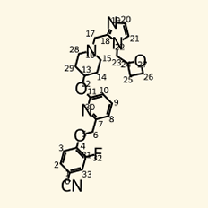 N#Cc1ccc(OCc2cccc(OC3CCN(Cc4nccn4CC4CCO4)CC3)n2)c(F)c1